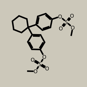 COS(=O)(=O)Oc1ccc(C2(c3ccc(OS(=O)(=O)OC)cc3)CCCCC2)cc1